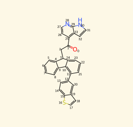 O=C(CC1c2ccccc2-c2c(-c3ccc4sccc4c3)cccc21)c1ccnc2[nH]ccc12